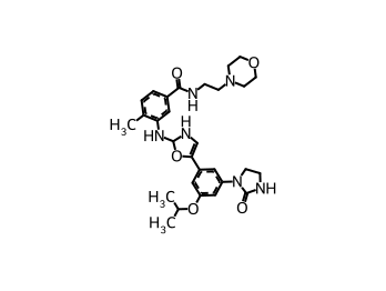 Cc1ccc(C(=O)NCCN2CCOCC2)cc1NC1NC=C(c2cc(OC(C)C)cc(N3CCNC3=O)c2)O1